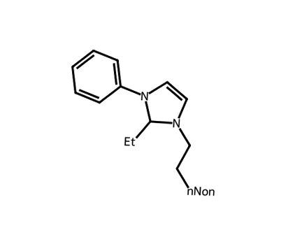 CCCCCCCCCCCN1C=CN(c2ccccc2)C1CC